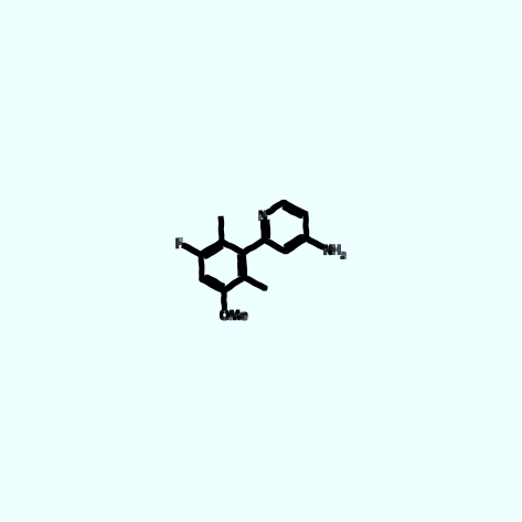 COc1cc(F)c(C)c(-c2cc(N)ccn2)c1C